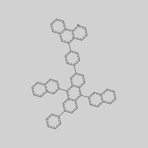 c1ccc(-c2ccc3c(-c4ccc5ccccc5c4)c4ccc(-c5ccc(-c6cc7ccccc7c7ncccc67)cc5)cc4c(-c4ccc5ccccc5c4)c3c2)cc1